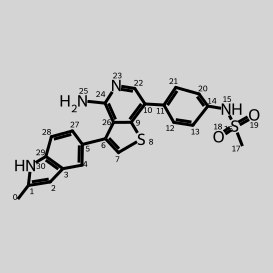 Cc1cc2cc(-c3csc4c(-c5ccc(NS(C)(=O)=O)cc5)cnc(N)c34)ccc2[nH]1